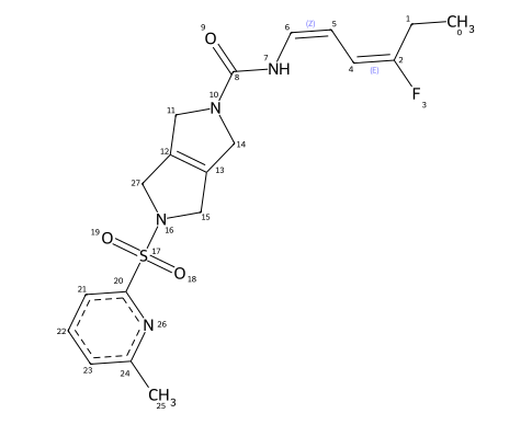 CC/C(F)=C\C=C/NC(=O)N1CC2=C(C1)CN(S(=O)(=O)c1cccc(C)n1)C2